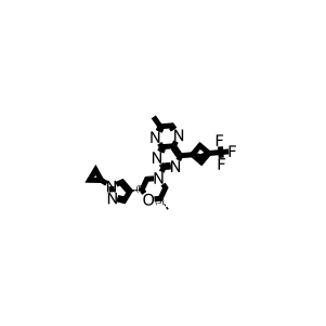 Cc1cnc2c(C34CC(C(F)(F)F)(C3)C4)nc(N3C[C@@H](c4cnn(C5CC5)c4)O[C@@H](C)C3)nc2n1